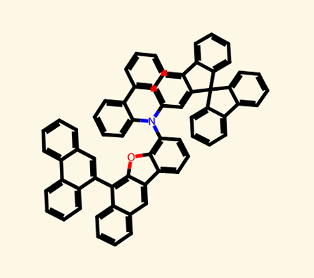 c1ccc(-c2ccccc2N(c2ccc3c(c2)C2(c4ccccc4-c4ccccc42)c2ccccc2-3)c2cccc3c2oc2c(-c4cc5ccccc5c5ccccc45)c4ccccc4cc23)cc1